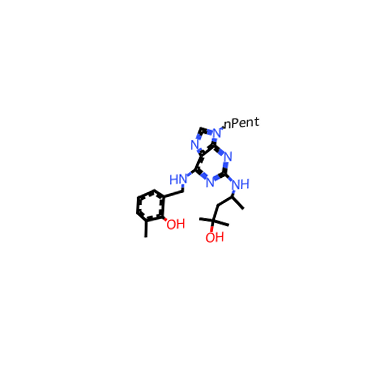 CCCCCn1cnc2c(NCc3cccc(C)c3O)nc(NC(C)CC(C)(C)O)nc21